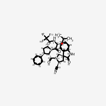 CC(C)C[C@H](NC(=O)C(F)(F)F)C(=O)N1CC[C@H](c2ccccc2)[C@H]1C(=O)N1C[C@]2(C[C@H]1C#N)C(=O)Nc1ccccc12